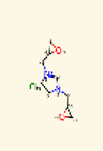 C1=[N+](CC2CO2)CCN1CC1CO1.[Cl-]